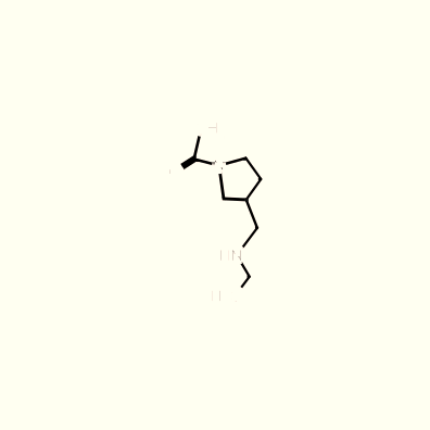 CCNCC1CCN(C(C)=O)C1